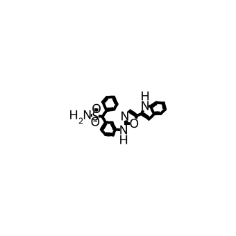 NS(=O)(=O)C(c1ccccc1)c1cccc(Nc2ncc(-c3cc4ccccc4[nH]3)o2)c1